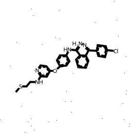 C=C(Nc1ccc(Oc2ccnc(NCCSC)c2)cc1)c1ccccc1/C(=N\N)c1ccc(Cl)cc1